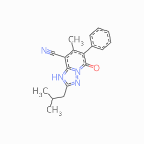 Cc1c(-c2ccccc2)c(=O)n2nc(CC(C)C)[nH]c2c1C#N